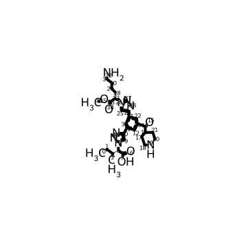 CCC(C)[C@@H](C(=O)O)n1cc(-c2cc(C(=O)C3CCNCC3)cc(-c3cn([C@@H](CCCCN)C(=O)OC)nn3)c2)nn1